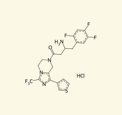 Cl.NC(CC(=O)N1CCn2c(C(F)(F)F)nc(-c3ccsc3)c2C1)Cc1cc(F)c(F)cc1F